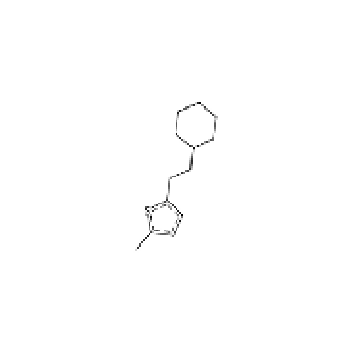 Cc1ccc(CCC2CCCCC2)s1